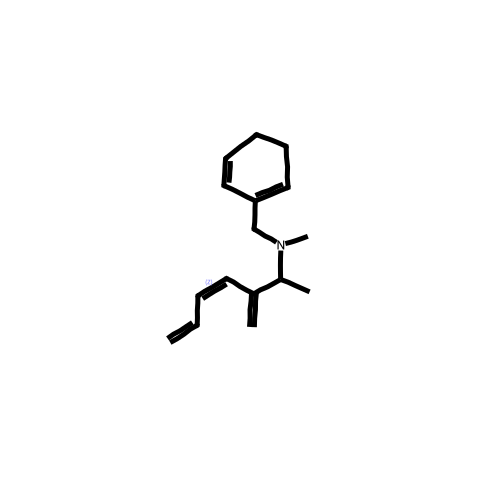 C=C/C=C\C(=C)C(C)N(C)CC1=CCCC=C1